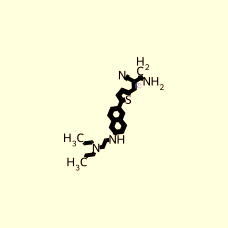 C=C(N)/C(C#N)=C/c1ccc(-c2ccc3cc(NCCN(CCC)CCC)ccc3c2)s1